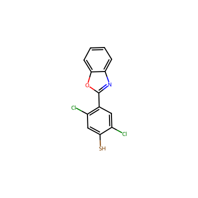 Sc1cc(Cl)c(-c2nc3ccccc3o2)cc1Cl